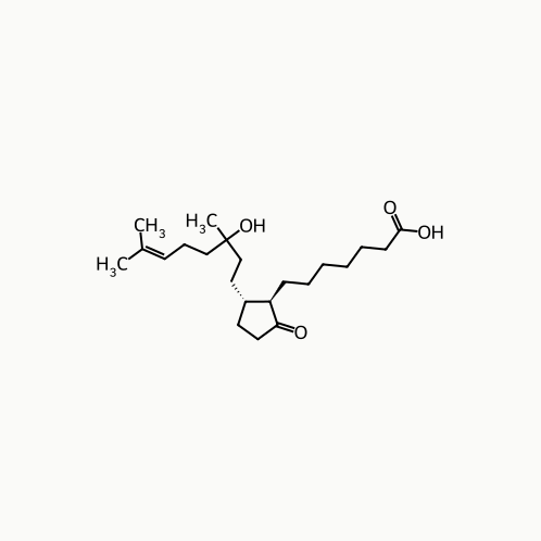 CC(C)=CCCC(C)(O)CC[C@H]1CCC(=O)[C@@H]1CCCCCCC(=O)O